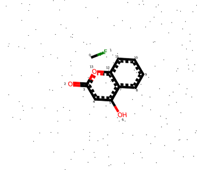 CF.O=c1cc(O)c2ccccc2o1